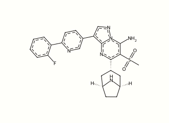 CS(=O)(=O)c1c([C@@H]2C[C@H]3CC[C@@H](C2)N3)nc2c(-c3ccc(-c4ccccc4F)nc3)cnn2c1N